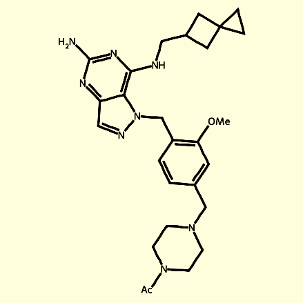 COc1cc(CN2CCN(C(C)=O)CC2)ccc1Cn1ncc2nc(N)nc(NCC3CC4(CC4)C3)c21